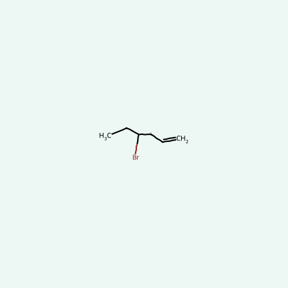 C=C[CH]C(Br)CC